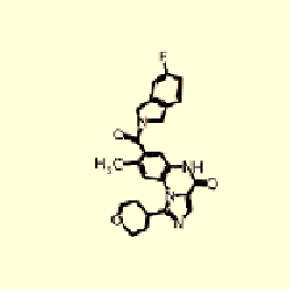 Cc1cc2c(cc1C(=O)N1Cc3ccc(F)cc3C1)[nH]c(=O)c1cnc(C3CCOCC3)n12